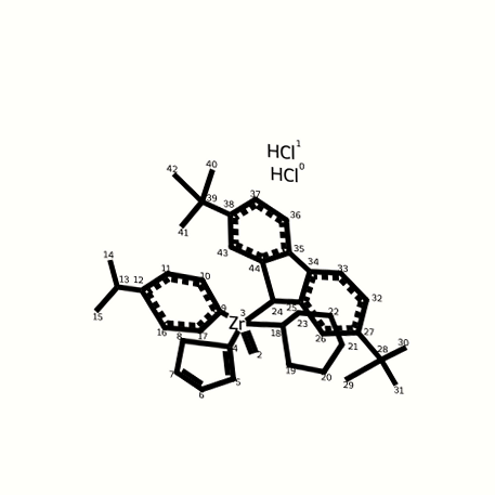 Cl.Cl.[CH2]=[Zr]([C]1=CC=CC1)([c]1ccc(C(C)C)cc1)([CH]1CCCCC1)[CH]1c2cc(C(C)(C)C)ccc2-c2ccc(C(C)(C)C)cc21